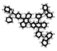 C1=CCCC(n2c(-c3ccc(-c4c5ccccc5c(-c5ccc6c(-c7cccc(-n8c9ccccc9c9ccccc98)c7)c7ccccc7c(-c7cccc(-n8c9ccccc9c9ccccc98)c7)c6c5)c5ccccc45)cc3)nc3ccccc32)=C1